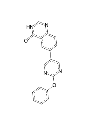 O=c1[nH]cnc2ccc(-c3cnc(Oc4ccccc4)nc3)cc12